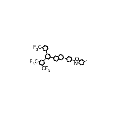 Cc1ccc2nc(-c3ccc(-c4ccc5cc(-c6cc(-c7cccc(C(F)(F)F)c7)cc(-c7cc(C(F)(F)F)cc(C(F)(F)F)c7)c6)ccc5c4)cc3)oc2c1